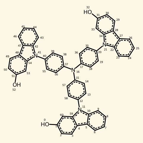 Oc1ccc2c3ccccc3n(-c3ccc(N(c4ccc(-n5c6ccccc6c6ccc(O)cc65)cc4)c4ccc(-n5c6ccccc6c6ccc(O)cc65)cc4)cc3)c2c1